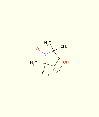 CC1(C)CCC(C)(C)N1[O].O=[N+]([O-])O